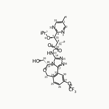 Cc1cnc([C@H](OC(C)C)[C@H](C)S(=O)(=O)Nc2nnc3n2[C@@H](CO)OCc2ccc(OC(F)(F)F)cc2-3)nc1